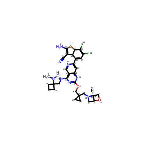 CN(C)C1(CNc2nc(OCC3(CN4CC5OC[C@@H]54)CC3)nc3cc(C4=CC(F)=C(F)C5SC(N)=C(C#N)C45)ncc23)CCC1